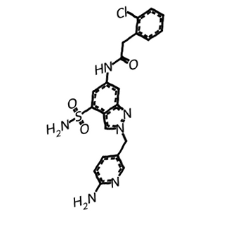 Nc1ccc(Cn2cc3c(S(N)(=O)=O)cc(NC(=O)Cc4ccccc4Cl)cc3n2)cn1